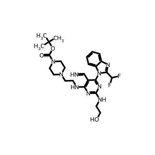 CC(C)(C)OC(=O)N1CCN(CCNc2nc(NCCO)nc(-n3c(C(F)F)nc4ccccc43)c2C=N)CC1